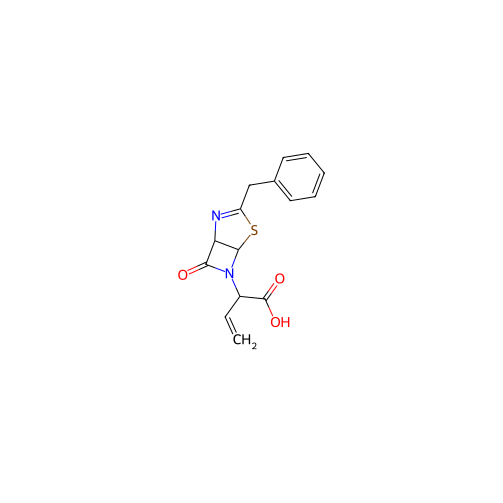 C=CC(C(=O)O)N1C(=O)C2N=C(Cc3ccccc3)SC21